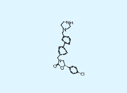 O=C1O[C@H](c2ccc(Cl)cc2)CN1Cc1ccc(-c2cccc(CN3CCNCC3)c2)cc1